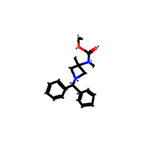 CN(C(=O)OC(C)(C)C)C1(C)CN(C(c2ccccc2)c2ccccc2)C1